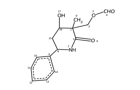 CC1(COC=O)C(=O)NC(c2ccccc2)CC1O